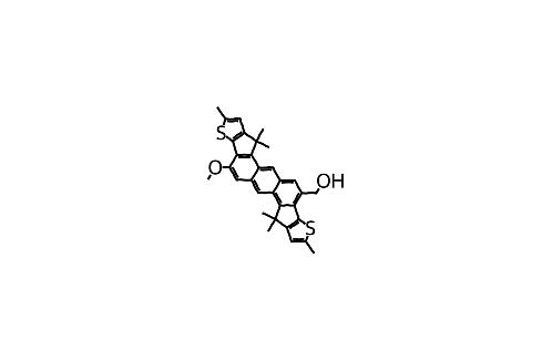 COc1cc2cc3c4c(c(CO)cc3cc2c2c1-c1sc(C)cc1C2(C)C)-c1sc(C)cc1C4(C)C